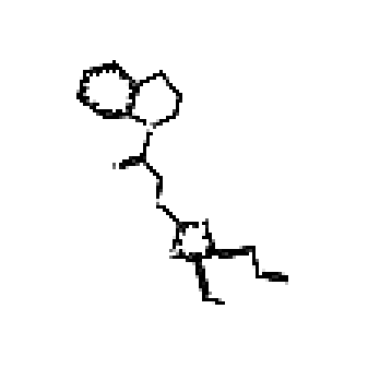 C=C/C=c1/nc(SCC(=O)N2CCCc3ccccc32)o/c1=C/C